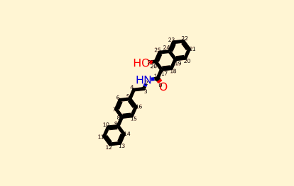 O=C(NCCc1ccc(-c2ccccc2)cc1)c1cc2ccccc2cc1O